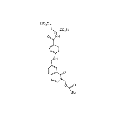 CCOC(=O)CC[C@@H](NC(=O)c1ccc(NCc2ccc3ncn(COC(=O)C(C)(C)C)c(=O)c3c2)cc1)C(=O)OCC